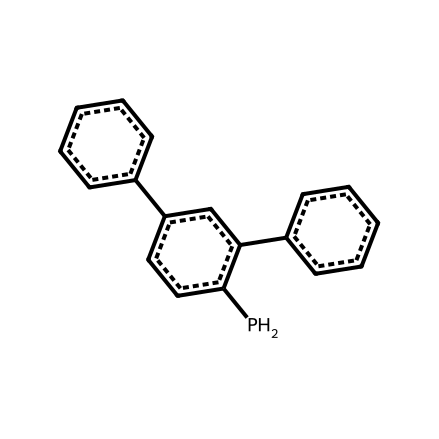 Pc1ccc(-c2ccccc2)cc1-c1ccccc1